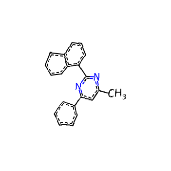 Cc1cc(-c2ccccc2)nc(-c2cccc3ccccc23)n1